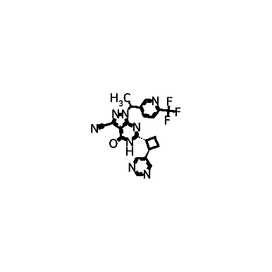 C[C@@H](c1ccc(C(F)(F)F)nc1)n1nc(C#N)c2c(=O)[nH]c([C@@H]3CC[C@H]3c3cncnc3)nc21